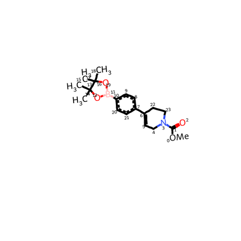 COC(=O)N1CC=C(c2ccc(B3OC(C)(C)C(C)(C)O3)cc2)CC1